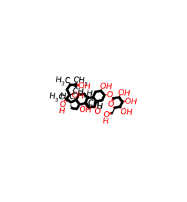 C[C@H](C[C@@H](O)[C@](C)(O)[C@H]1CC[C@@]2(O)C3=CC(=O)[C@@H]4C[C@@H](O[C@@H]5O[C@H](CO)[C@@H](O)[C@H](O)[C@H]5O)[C@@H](O)C[C@]4(C)[C@H]3CC[C@]12C)C(C)(C)O